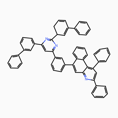 C1=CC(c2ccccc2)=CC(c2nc(-c3cccc(-c4ccccc4)c3)cc(-c3cccc(-c4cc5nc(-c6ccccc6)cc(-c6ccccc6)c5c5ccccc45)c3)n2)C1